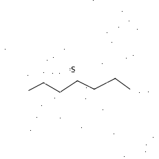 CCCCCCC.[S]